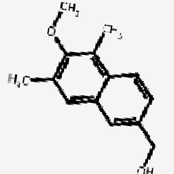 COc1c(C)cc2cc(CO)ccc2c1C